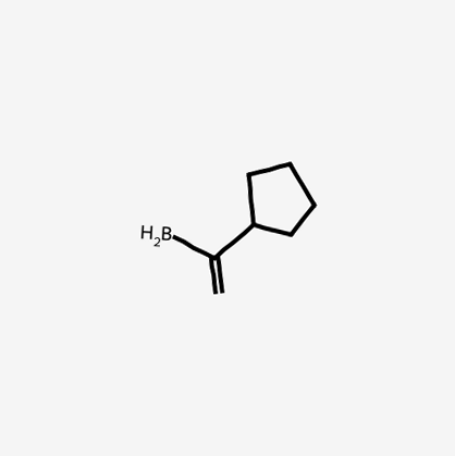 BC(=C)C1CCCC1